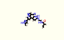 C=CC(C)C(=O)NCCNc1ccc(-c2cc(-c3cc(C)[nH]n3)cn3ncc(C#N)c23)cn1